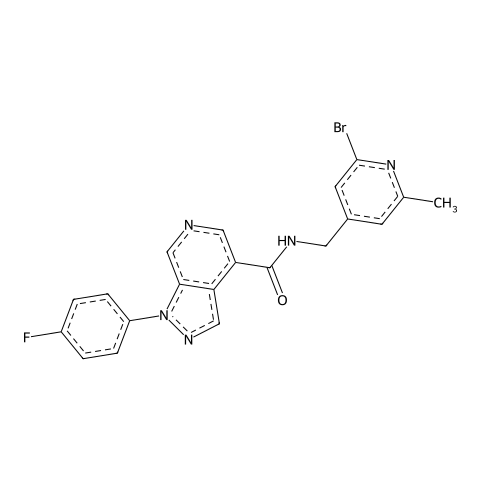 Cc1cc(CNC(=O)c2cncc3c2cnn3-c2ccc(F)cc2)cc(Br)n1